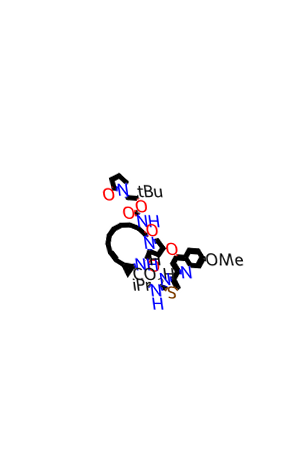 COc1ccc2c(O[C@@H]3C[C@H]4C(=O)N[C@]5(C(=O)O)CC5/C=C\CCCCC[C@H](NC(=O)O[C@H](CN5CCCC5=O)C(C)(C)C)C(=O)N4C3)cc(-c3csc(NC(C)C)n3)nc2c1